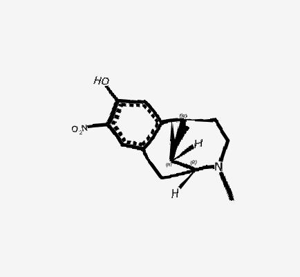 CN1CC[C@]23CCCC[C@H]2[C@H]1Cc1cc([N+](=O)[O-])c(O)cc13